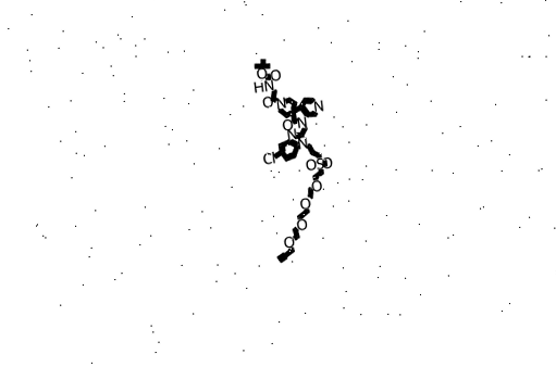 C#CCOCCOCCOCCOCCS(=O)(=O)CCCn1c(CN2C(=O)C3(CCN(C(=O)CNC(=O)OC(C)(C)C)CC3)c3ccncc32)nc2cc(Cl)ccc21